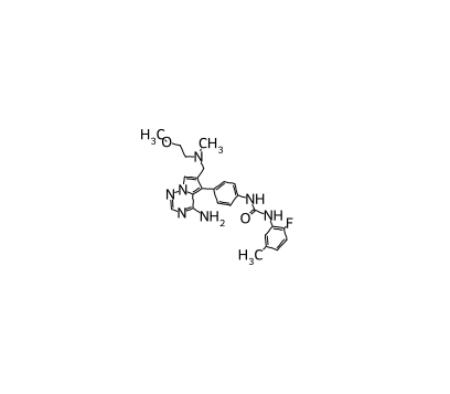 COCCN(C)Cc1cn2ncnc(N)c2c1-c1ccc(NC(=O)Nc2cc(C)ccc2F)cc1